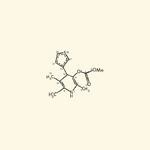 COC(=O)OC1=C(C)NC(C)=C(C)C1c1ccsc1